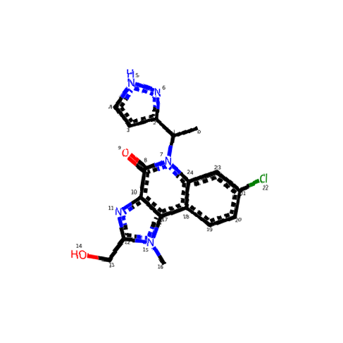 CC(c1cc[nH]n1)n1c(=O)c2nc(CO)n(C)c2c2ccc(Cl)cc21